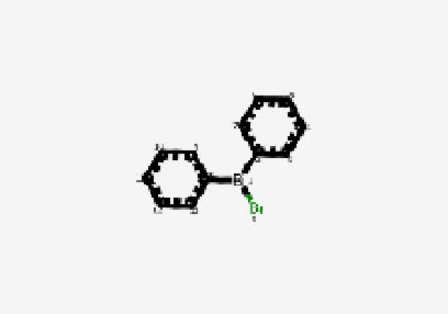 [Br][Bi]([c]1ccccc1)[c]1ccccc1